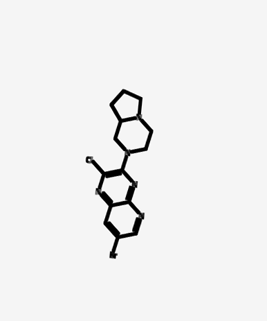 Clc1nc2cc(Br)cnc2nc1N1CCN2CCCC2C1